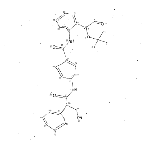 CC(C)(C)ON(C=O)c1ccccc1NC(=O)c1ccc(NC(=O)C(CO)c2cccnc2)cc1